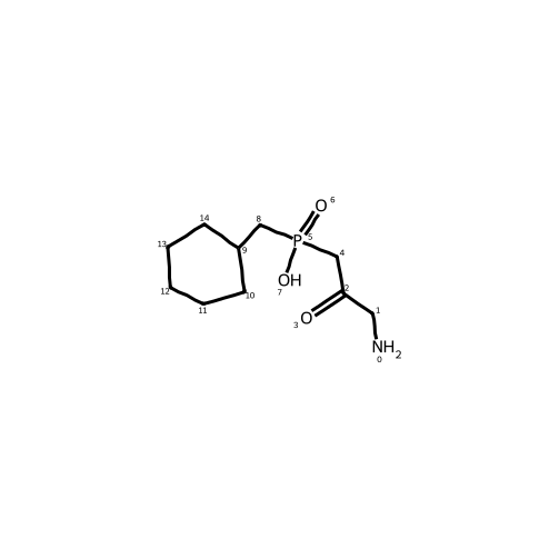 NCC(=O)CP(=O)(O)CC1CCCCC1